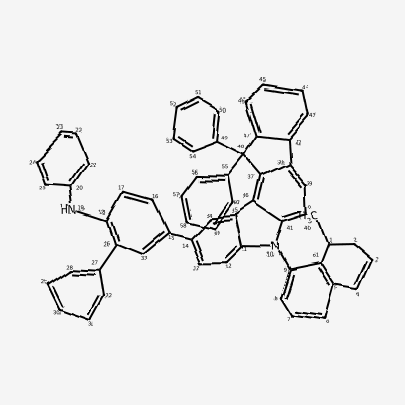 CC1CC=Cc2cccc(-n3c4ccc(-c5ccc(Nc6ccccc6)c(-c6ccccc6)c5)cc4c4c5c(ccc43)-c3ccccc3C5(c3ccccc3)c3ccccc3)c21